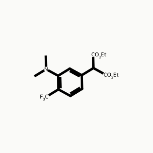 CCOC(=O)C(C(=O)OCC)c1ccc(C(F)(F)F)c(N(C)C)c1